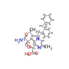 CCc1c(C(=O)C(N)=O)c2c(C(=O)C(=O)O)nc(C)cn2c1Cc1ccccc1Cc1ccccc1